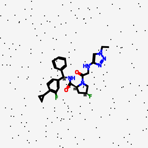 CCn1cc(NCC(=O)N2C[C@H](F)C[C@H]2C(=O)N[C@@H](c2ccccc2)c2ccc(C3CC3)c(F)c2)nn1